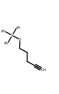 C#CCCCO[Si](C(C)C)(C(C)C)C(C)C